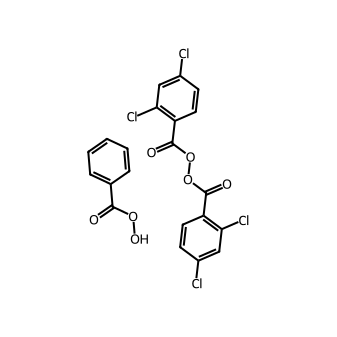 O=C(OO)c1ccccc1.O=C(OOC(=O)c1ccc(Cl)cc1Cl)c1ccc(Cl)cc1Cl